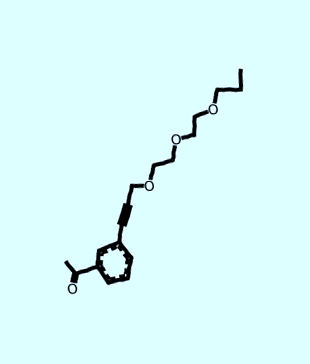 CCCOCCOCCOCC#Cc1cccc(C(C)=O)c1